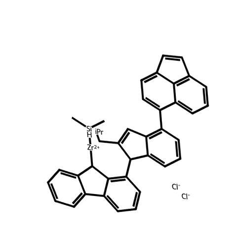 CC(C)CC1=Cc2c(-c3ccc4c5c(cccc35)C=C4)cccc2C1c1cccc2c1[CH]([Zr+2][SiH](C)C)c1ccccc1-2.[Cl-].[Cl-]